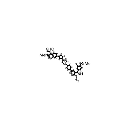 C=C(NC)C(CCC=O)c1ccc(C2CCC(N3CCN(c4ccc(-c5cnc(N)c(C(=N)c6ccc(CNC)c(C)c6)c5)cc4)CC3)C2)cc1F